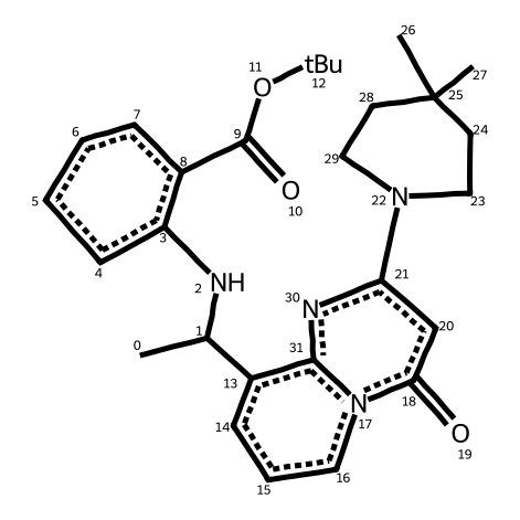 CC(Nc1ccccc1C(=O)OC(C)(C)C)c1cccn2c(=O)cc(N3CCC(C)(C)CC3)nc12